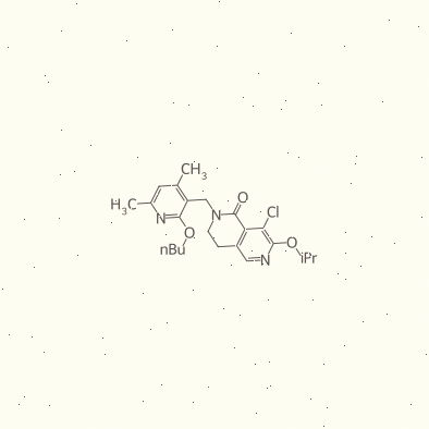 CCCCOc1nc(C)cc(C)c1CN1CCc2cnc(OC(C)C)c(Cl)c2C1=O